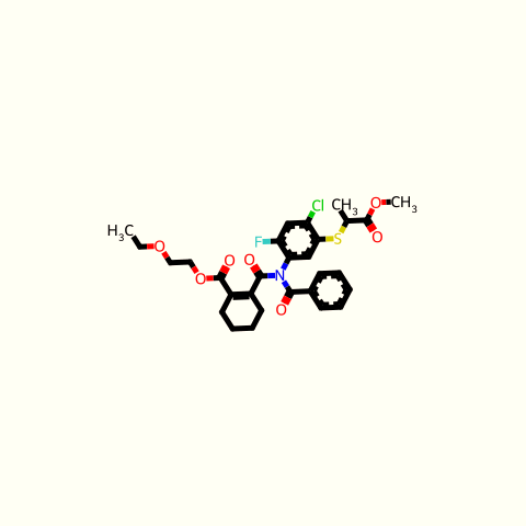 CCOCCOC(=O)C1=C(C(=O)N(C(=O)c2ccccc2)c2cc(SC(C)C(=O)OC)c(Cl)cc2F)CCCC1